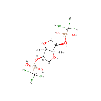 O=S(=O)(O[C@@H]1CO[C@H]2[C@@H]1OC[C@H]2OS(=O)(=O)C(F)(F)F)C(F)(F)F